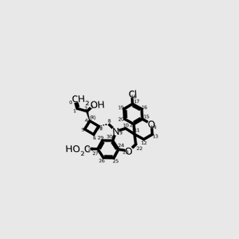 C=CC(O)[C@@H]1CC[C@H]1CN1CC2(CCOc3cc(Cl)ccc32)COc2ccc(C(=O)O)cc21